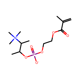 C=C(C)C(=O)OCCOP(=O)([O-])OC(C)C(C)[N+](C)(C)C